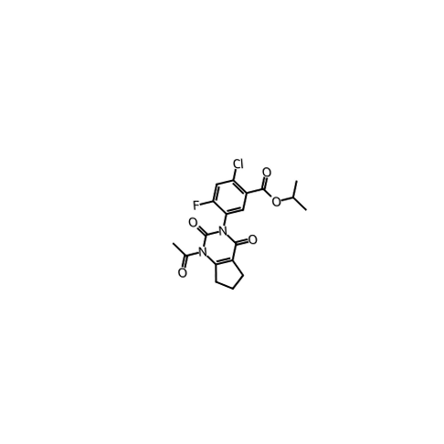 CC(=O)n1c2c(c(=O)n(-c3cc(C(=O)OC(C)C)c(Cl)cc3F)c1=O)CCC2